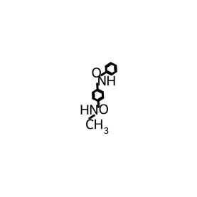 CCCNC(=O)c1ccc(CNC(=O)c2ccccc2)cc1